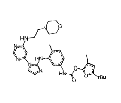 Cc1ccc(NC(=O)Oc2oc(C(C)(C)C)cc2C)cc1Nc1nccn1-c1cc(NCCN2CCOCC2)ncn1